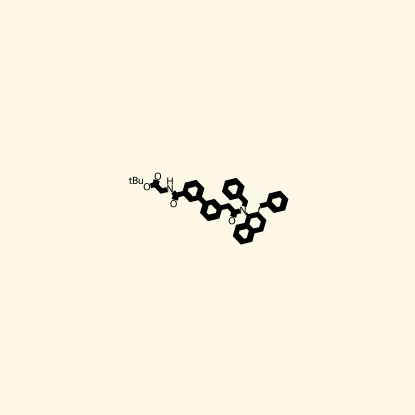 CC(C)(C)OC(=O)CNC(=O)c1cccc(-c2cccc(CC(=O)N(Cc3ccccc3)[C@@H]3c4ccccc4CC[C@H]3Cc3ccccc3)c2)c1